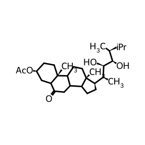 CC(=O)O[C@H]1CC[C@@]2(C)C(C1)C(=O)CC1C2CC[C@@]2(C)C1CC[C@@H]2[C@H](C)[C@@H](O)[C@H](O)[C@@H](C)C(C)C